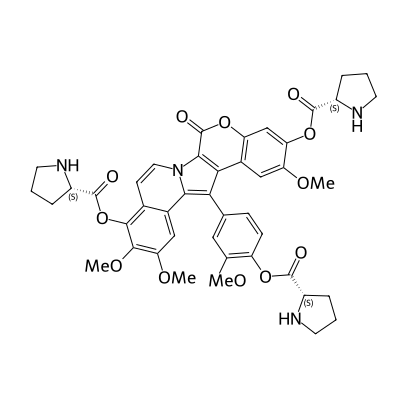 COc1cc(-c2c3c4cc(OC)c(OC(=O)[C@@H]5CCCN5)cc4oc(=O)c3n3ccc4c(OC(=O)[C@@H]5CCCN5)c(OC)c(OC)cc4c23)ccc1OC(=O)[C@@H]1CCCN1